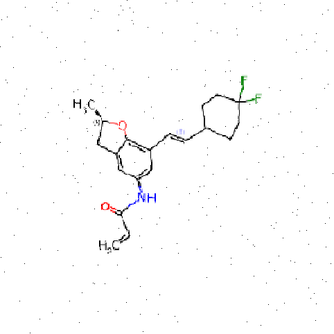 C=CC(=O)Nc1cc(/C=C/C2CCC(F)(F)CC2)c2c(c1)C[C@@H](C)O2